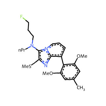 CCCN(CCCF)c1c(SC)nc2c(-c3c(OC)cc(C)cc3OC)cccn12